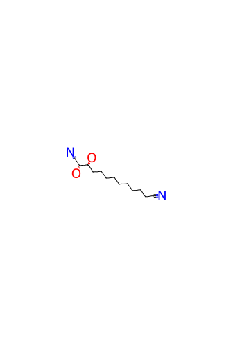 N#CCCCCCCCCCC(=O)C(=O)C#N